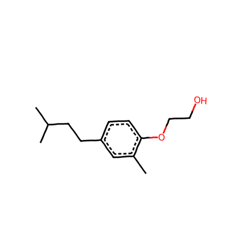 Cc1cc(CCC(C)C)ccc1OCCO